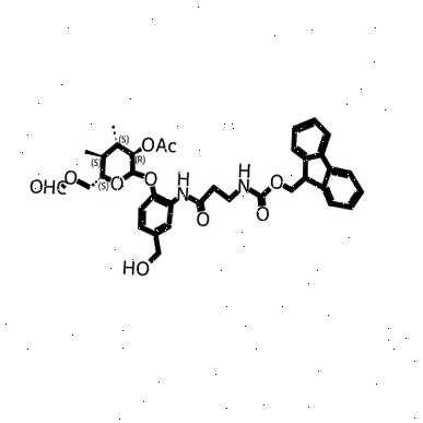 CC(=O)O[C@H]1C(Oc2ccc(CO)cc2NC(=O)CCNC(=O)OCC2c3ccccc3-c3ccccc32)O[C@H](COC=O)[C@@H](C)[C@@H]1C